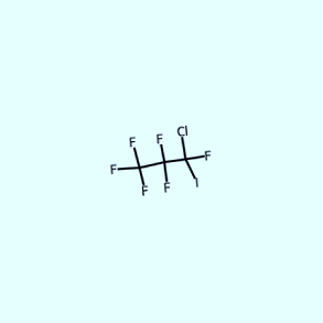 FC(F)(F)C(F)(F)C(F)(Cl)I